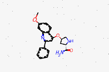 COc1ccc2c(O[C@H]3CN[C@H](C(N)=O)C3)cc(-c3ccccc3)nc2c1